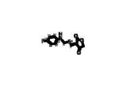 O=C1COC(=O)C1=CSCNc1ccc(F)cc1